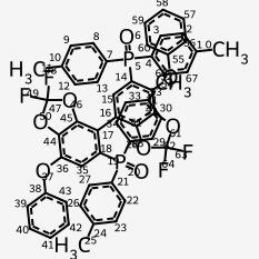 Cc1ccc(P(=O)(c2ccc(C)cc2)c2cc(-c3c(P(=O)(c4ccc(C)cc4)c4ccc(C)cc4)cc(Oc4ccccc4)c4c3OC(F)(F)O4)c3c(c2Oc2ccccc2)OC(F)(F)O3)cc1